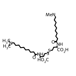 CNCCCCCCCCCC(=O)NC(CCSSCCC(NC(=O)CCCCCCCCCN(C)C)C(=O)O)C(=O)O